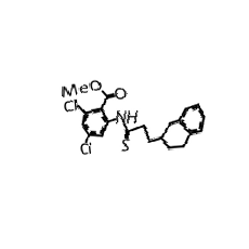 COC(=O)c1c(Cl)cc(Cl)cc1NC(=S)CCC1CCc2ccccc2C1